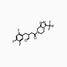 O=CC(CC(=O)N1CCn2c(nnc2C(F)(F)F)C1)Cc1cc(F)c(F)cc1F